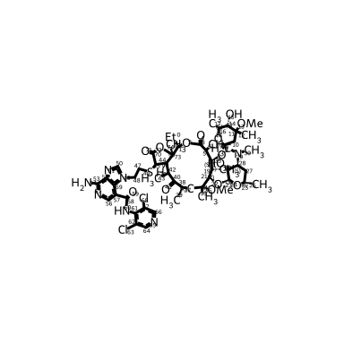 CC[C@H]1OC(=O)C(C)[C@@H](O[C@H]2CC(C)(OC)[C@@H](O)[C@H](C)O2)[C@H](C)[C@@H](O[C@@H]2O[C@H](C)C[C@H](N(C)C)[C@H]2O)[C@](C)(OC)C[C@@H](C)C(=O)C(C)[C@H]2C(SCCn3cnc4c(N)ncc(C(=O)Nc5c(Cl)cncc5Cl)c43)C(=O)O[C@@]21C